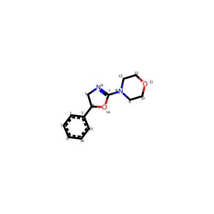 c1ccc(C2CN=C(N3CCOCC3)O2)cc1